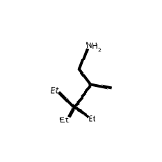 CCC(CC)(CC)C(C)CN